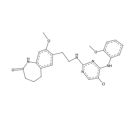 COc1cc2c(cc1CCNc1ncc(Cl)c(Nc3ccccc3OC)n1)CCCC(=O)N2